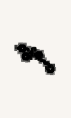 O=C(OC1C[N+]2(CCCSc3ncccn3)CCC1CC2)N(Cc1ccc(F)cc1)c1ccccc1F